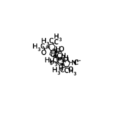 [C-]#[N+]C1=C[C@]2(C)[C@H]3CC(=O)[C@@H]4[C@@H]5CC(C)(C)C[C@@H](C(C)=O)C5CC[C@@]4(C)[C@]3(C)CC[C@H]2C(C)(C)C1=O